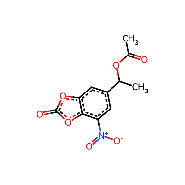 CC(=O)OC(C)c1cc([N+](=O)[O-])c2oc(=O)oc2c1